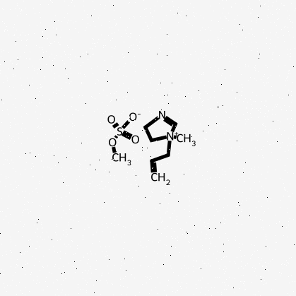 C=CC[N+]1(C)C=NCC1.COS(=O)(=O)[O-]